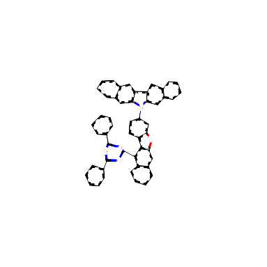 c1ccc(-c2nc(-c3ccccc3)nc(-c3c4ccccc4cc4oc5cc(-n6c7cc8ccccc8cc7c7cc8ccccc8cc76)ccc5c34)n2)cc1